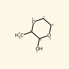 CC1OCCOC1O